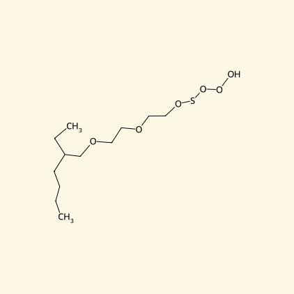 CCCCC(CC)COCCOCCOSOOO